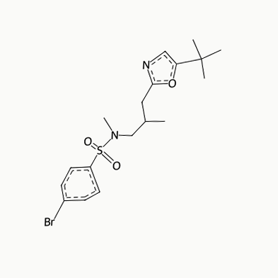 CC(Cc1ncc(C(C)(C)C)o1)CN(C)S(=O)(=O)c1ccc(Br)cc1